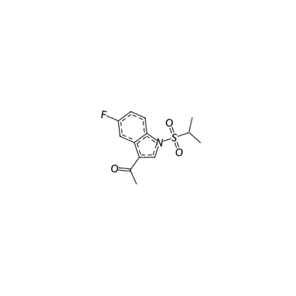 CC(=O)c1cn(S(=O)(=O)C(C)C)c2ccc(F)cc12